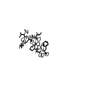 CC[C@H](C)[C@@H]([C@@H](CC(=O)N1CCCC1[C@H](OC)[C@@H](C)C(=O)NC(Cc1ccccc1)C(=O)OC)OC)N(C)C(=O)C(CN=[N+]=[N-])NC(=O)C(C(C)C)N(C)C